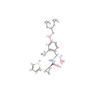 CCC(CC)COc1ccc([C@H](CO)NC(=O)[C@H]2C[C@@H]2c2cccs2)c(C)c1